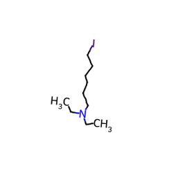 CCN(CC)CCCCCCI